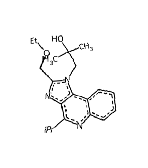 CCOCc1nc2c(C(C)C)nc3ccccc3c2n1CC(C)(C)O